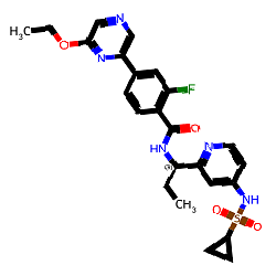 CCOc1cncc(-c2ccc(C(=O)N[C@H](CC)c3cc(NS(=O)(=O)C4CC4)ccn3)c(F)c2)n1